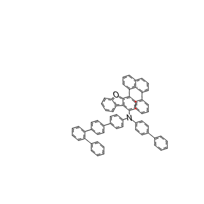 c1ccc(-c2ccc(N(c3ccc(-c4ccc(-c5ccccc5-c5ccccc5)cc4)cc3)c3ccc(-c4cccc5cccc(-c6ccccc6)c45)c4oc5ccccc5c34)cc2)cc1